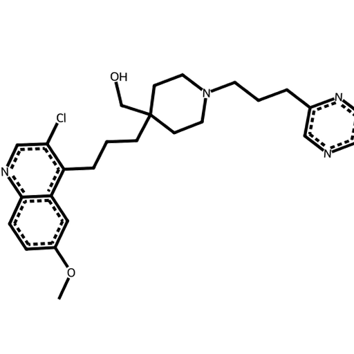 COc1ccc2ncc(Cl)c(CCCC3(CO)CCN(CCCc4cnccn4)CC3)c2c1